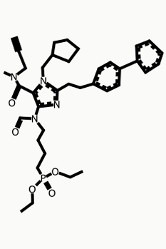 C#CCN(C)C(=O)c1c(N(C=O)CCCCP(=O)(OCC)OCC)nc(CCc2ccc(-c3ccccc3)cc2)n1CC1CCCC1